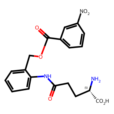 N[C@@H](CCC(=O)Nc1ccccc1COC(=O)c1cccc([N+](=O)[O-])c1)C(=O)O